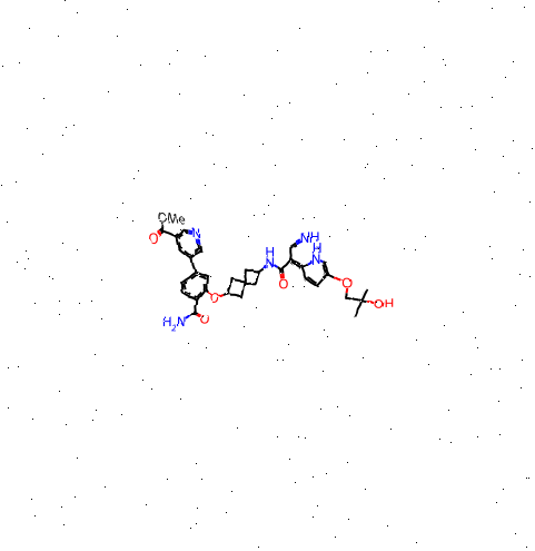 COC(=O)c1cncc(-c2ccc(C(N)=O)c(OC3CC4(CC(NC(=O)/C(C=N)=C5\C=CC(OCC(C)(C)O)=CN5)C4)C3)c2)c1